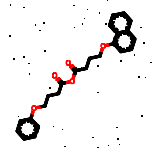 O=C(CCCOc1ccccc1)OC(=O)CCCOc1cccc2ccccc12